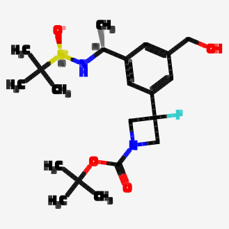 C[C@@H](N[S@+]([O-])C(C)(C)C)c1cc(CO)cc(C2(F)CN(C(=O)OC(C)(C)C)C2)c1